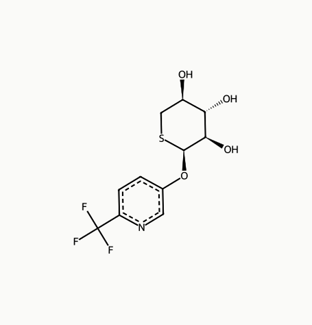 O[C@@H]1[C@@H](O)[C@@H](Oc2ccc(C(F)(F)F)nc2)SC[C@H]1O